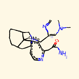 C=N/C(=C\N(C)C)CN1CC2CCCC(C1)C2(OC)c1ccnc(C(N)=O)c1